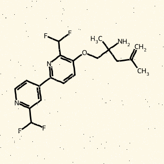 C=C(C)CC(C)(N)COc1ccc(-c2ccnc(C(F)F)c2)nc1C(F)F